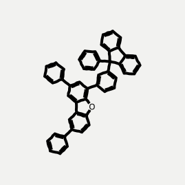 c1ccc(-c2ccc3oc4c(-c5cccc(C6(c7ccccc7)c7ccccc7-c7ccccc76)c5)cc(-c5ccccc5)cc4c3c2)cc1